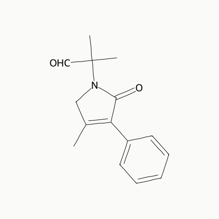 CC1=C(c2ccccc2)C(=O)N(C(C)(C)C=O)C1